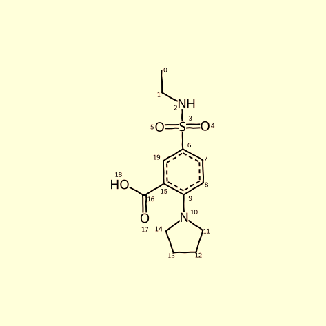 CCNS(=O)(=O)c1ccc(N2CCCC2)c(C(=O)O)c1